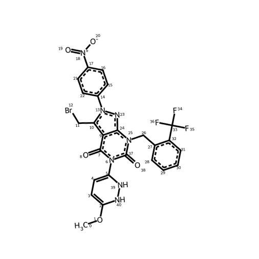 COC1=CC=C(n2c(=O)c3c(CBr)n(-c4ccc([N+](=O)[O-])cc4)nc3n(Cc3ccccc3C(F)(F)F)c2=O)NN1